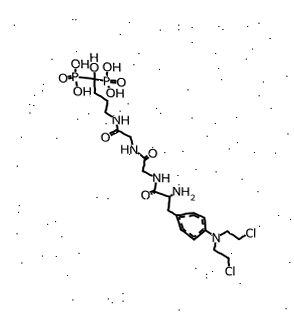 N[C@@H](Cc1ccc(N(CCCl)CCCl)cc1)C(=O)NCC(=O)NCC(=O)NCCCC(O)(P(=O)(O)O)P(=O)(O)O